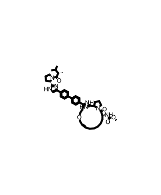 COC(=O)N[C@H]1CCCCC/C=C\COCc2[nH]c(nc2-c2ccc(-c3ccc(-c4c[nH]c([C@@H]5CCCN5C(=O)[C@@H](C)C(C)C)n4)cc3)cc2)[C@@H]2CCCN2C1=O